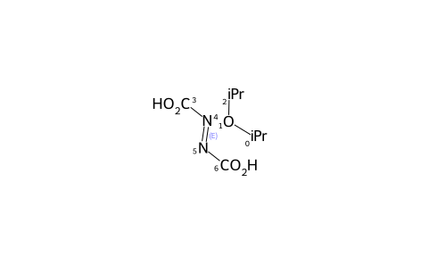 CC(C)OC(C)C.O=C(O)/N=N/C(=O)O